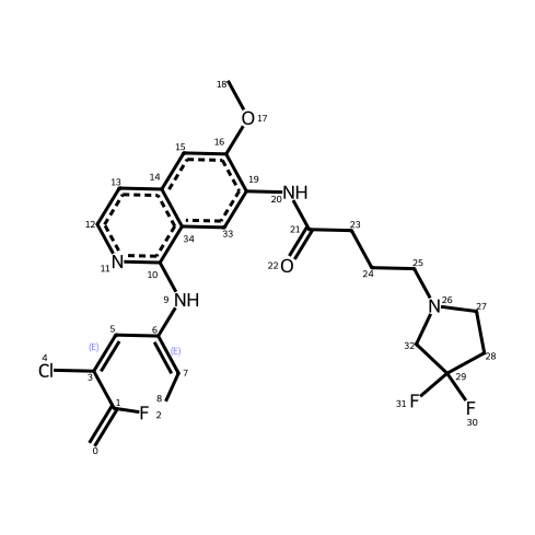 C=C(F)/C(Cl)=C\C(=C/C)Nc1nccc2cc(OC)c(NC(=O)CCCN3CCC(F)(F)C3)cc12